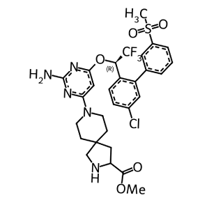 COC(=O)C1CC2(CCN(c3cc(O[C@H](c4ccc(Cl)cc4-c4cccc(S(C)(=O)=O)c4)C(F)(F)F)nc(N)n3)CC2)CN1